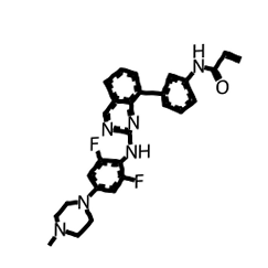 C=CC(=O)Nc1cccc(-c2cccc3cnc(Nc4c(F)cc(N5CCN(C)CC5)cc4F)nc23)c1